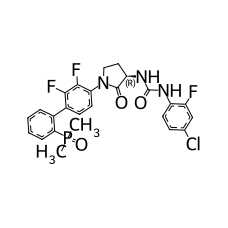 CP(C)(=O)c1ccccc1-c1ccc(N2CC[C@@H](NC(=O)Nc3ccc(Cl)cc3F)C2=O)c(F)c1F